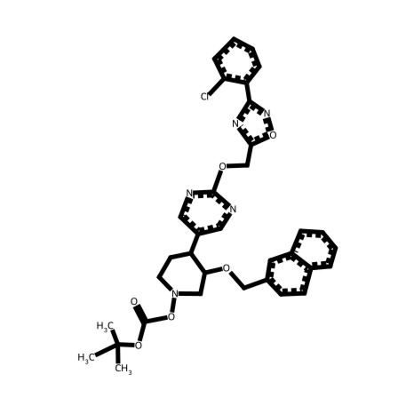 CC(C)(C)OC(=O)ON1CCC(c2cnc(OCc3nc(-c4ccccc4Cl)no3)nc2)C(OCc2ccc3ccccc3c2)C1